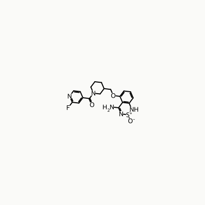 NC1=N[S+]([O-])Nc2cccc(OCC3CCCN(C(=O)c4ccnc(F)c4)C3)c21